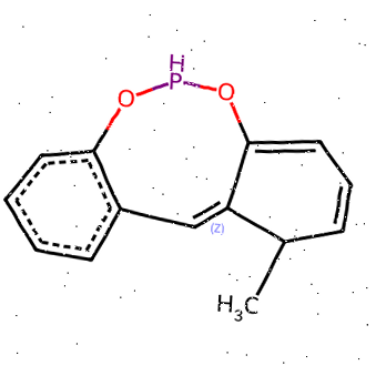 CC1C=CC=C2OPOc3ccccc3/C=C\21